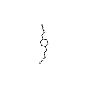 O=C=NCCC1CCC(CN=C=O)CC1